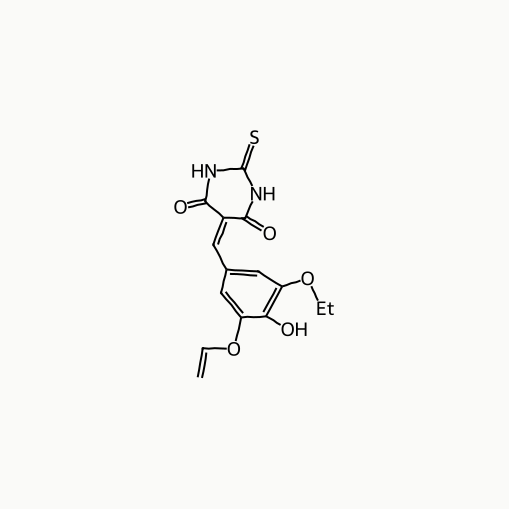 C=COc1cc(C=C2C(=O)NC(=S)NC2=O)cc(OCC)c1O